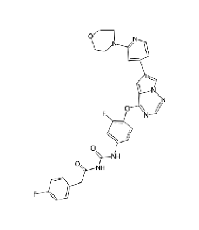 O=C(Cc1ccc(F)cc1)NC(=O)Nc1ccc(Oc2ncnn3cc(-c4ccnc(N5CCOCC5)c4)cc23)c(F)c1